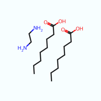 CCCCCCCC(=O)O.CCCCCCCC(=O)O.NCCN